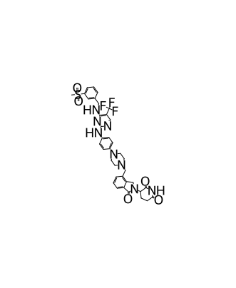 CS(=O)(=O)c1cccc(CNc2nc(Nc3ccc(N4CCN(Cc5cccc6c5CN(C5CCC(=O)NC5=O)C6=O)CC4)cc3)ncc2C(F)(F)F)c1